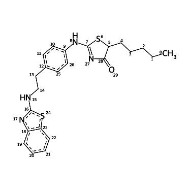 CCCCCC1SC(Nc2ccc(CCNc3nc4ccccc4s3)cc2)=NC1=O